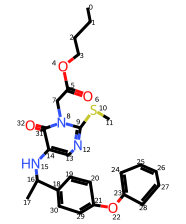 CCCCOC(=O)Cn1c(SC)ncc(NC(C)c2ccc(Oc3ccccc3)cc2)c1=O